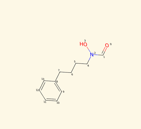 O=CN(O)CCCCc1ccccc1